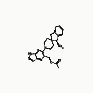 CC(=O)OCc1nc2cn[nH]c2nc1N1CCC2(CC1)Cc1ccccc1[C@H]2N